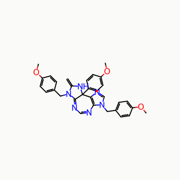 C=C1NC2(c3ccc(OC)cc3)C(=NC=Nc3c2ncn3Cc2ccc(OC)cc2)N1Cc1ccc(OC)cc1